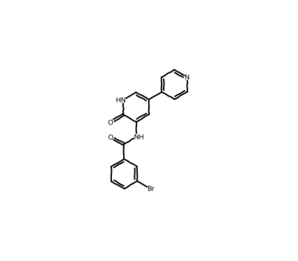 O=C(Nc1cc(-c2ccncc2)c[nH]c1=O)c1cccc(Br)c1